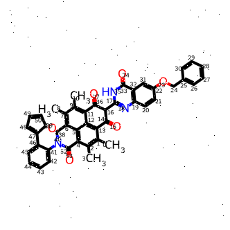 Cc1c(C)c2c3c(c(C)c(C)c4c3c1C(=O)C(c1nc3ccc(OCc5ccccc5)cc3c(=O)[nH]1)C4=O)C(=O)N(c1ccccc1C1=CC=CC1)C2=O